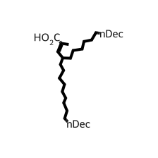 CCCCCCCCCCCCCCCCCCCC(C=C(C)C(=O)O)CCCCCCCCCCCCCCCC